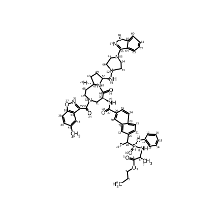 CCCOC(=O)[C@H](C)NP(=O)(Oc1ccccc1)C(F)c1ccc2ccc(C(=O)N[C@H]3CN(C(=O)c4noc5ccc(C)cc45)CC[C@H]4CC[C@@H](NN5CCN(c6nsc7ccccc67)CC5)N4C3=O)cc2c1